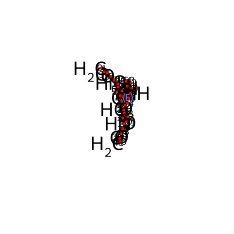 C=CC(=O)COCCCNC(=O)C1CCC(C(=O)Oc2ccc(OC(O)C3CCC(C(=O)NCCCCOC(=O)C=C)CC3)cc2/C=N/Nc2nc3ccccc3s2)CC1